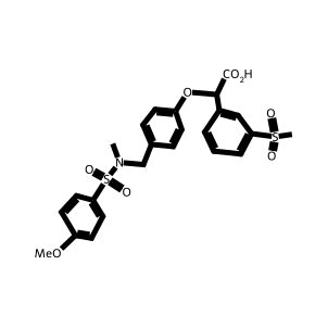 COc1ccc(S(=O)(=O)N(C)Cc2ccc(OC(C(=O)O)c3cccc(S(C)(=O)=O)c3)cc2)cc1